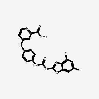 CNC(=O)c1cc(Oc2ccc(NC(=O)Nc3nc4c(F)cc(F)cc4s3)cc2)ccn1